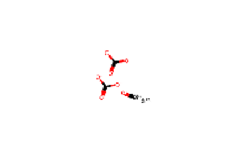 O=C([O-])[O-].O=C([O-])[O-].[Bi+3].[O]=[Bi+]